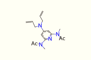 C=CCN(CC=C)c1cc(N(C)C(C)=O)nc(N(C)C(C)=O)c1